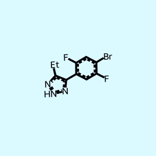 CCc1n[nH]nc1-c1cc(F)c(Br)cc1F